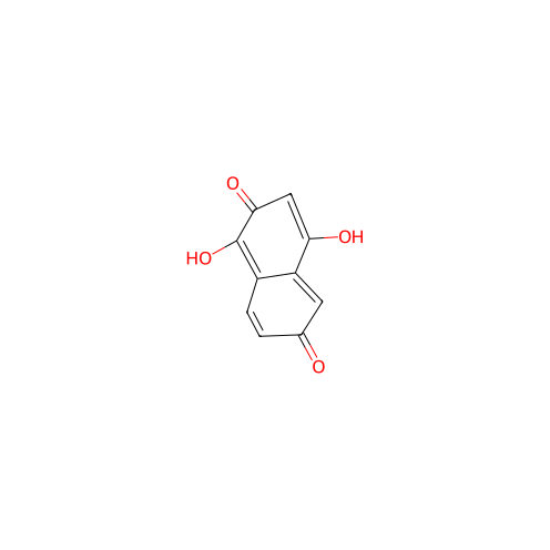 O=C1C=CC2=C(O)C(=O)C=C(O)C2=C1